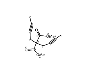 CC#CCC(CC#CC)(C(=O)OC)C(=O)OC